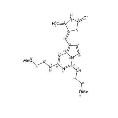 C=C1NC(=O)C/C1=C\c1cnn2c(NCCOC)nc(NCCOC)nc12